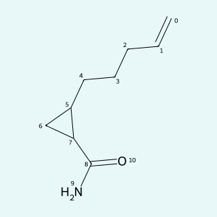 C=CCCCC1CC1C(N)=O